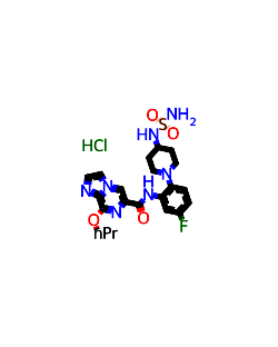 CCCOc1nc(C(=O)Nc2cc(F)ccc2N2CCC(NS(N)(=O)=O)CC2)cn2ccnc12.Cl